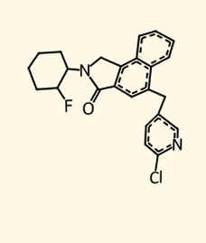 O=C1c2cc(Cc3ccc(Cl)nc3)c3ccccc3c2CN1C1CCCCC1F